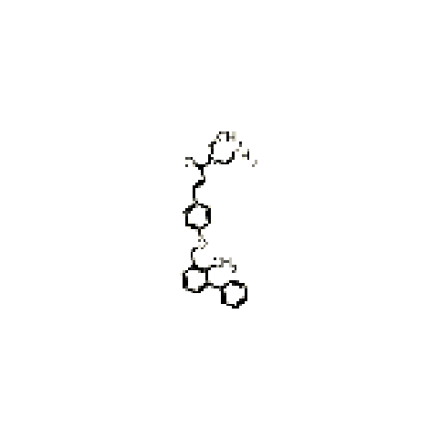 CCN(CC)C(=O)C=Cc1ccc(OCc2cccc(-c3ccccc3)c2C)cc1